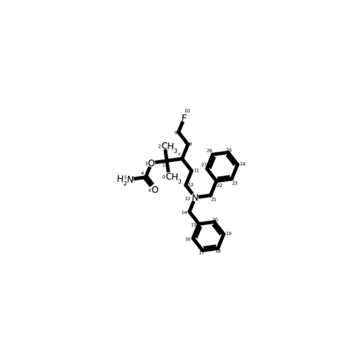 CC(C)(OC(N)=O)C(CCF)CCN(Cc1ccccc1)Cc1ccccc1